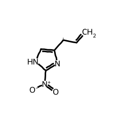 C=C[CH]c1c[nH]c([N+](=O)[O-])n1